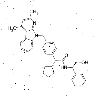 Cc1cc(C)c2c3ccccc3n(Cc3ccc(C(C(=O)N[C@@H](CO)c4ccccc4)C4CCCC4)cc3)c2n1